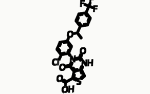 CC(Oc1ccc(Cl)c(-n2c(=O)[nH]c3csc(C(=O)O)c3c2=O)c1)c1ccc(C(F)(F)F)cc1